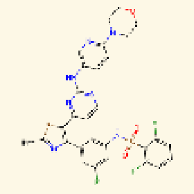 CC(C)c1nc(-c2cc(F)cc(NS(=O)(=O)c3c(F)cccc3F)c2)c(-c2ccnc(Nc3ccc(N4CCOCC4)nc3)n2)s1